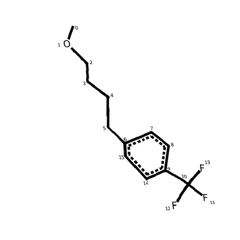 COCCCCc1ccc(C(F)(F)F)cc1